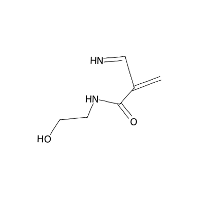 C=C(C=N)C(=O)NCCO